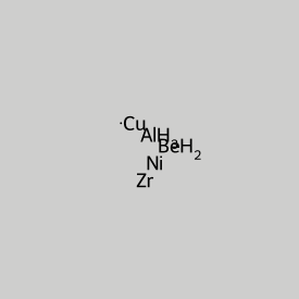 [AlH3].[BeH2].[Cu].[Ni].[Zr]